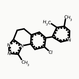 Cc1cncc(-c2cc3c(cc2Cl)-n2c(C)nnc2CC3)c1C